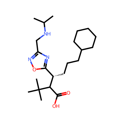 CC(C)NCc1noc([C@H](CCCC2CCCCC2)C(C(=O)O)C(C)(C)C)n1